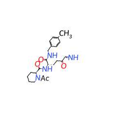 CC(=O)N1CCCC[C@H]1C(=O)N[C@@H](CCC(=O)C=N)C(=O)NCc1ccc(C)cc1